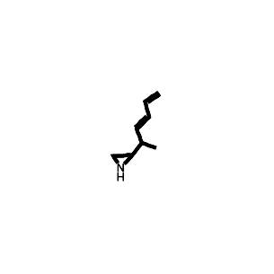 C=CC=CC(C)C1CN1